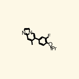 Cc1cc2nccn2cc1-c1ccc(OC(C)C)c(F)c1